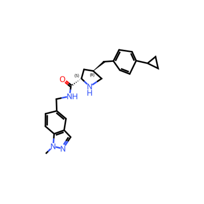 Cn1ncc2cc(CNC(=O)[C@@H]3C[C@@H](Cc4ccc(C5CC5)cc4)CN3)ccc21